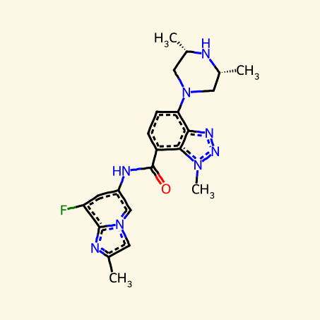 Cc1cn2cc(NC(=O)c3ccc(N4C[C@@H](C)N[C@@H](C)C4)c4nnn(C)c34)cc(F)c2n1